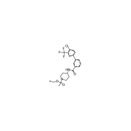 CP(=O)(OCI)N1CCC(NC(=O)c2cccc(-c3ccc(Cl)c(C(F)(F)F)c3)c2)CC1